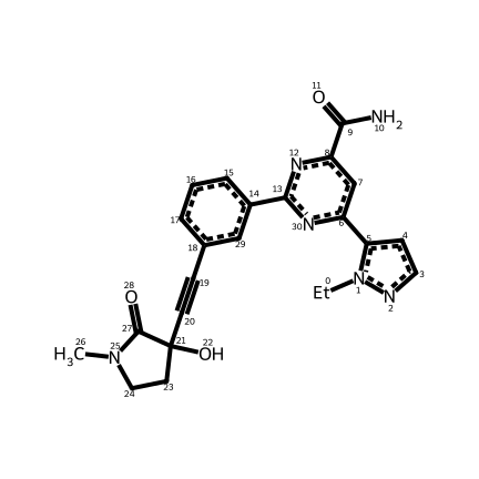 CCn1nccc1-c1cc(C(N)=O)nc(-c2cccc(C#CC3(O)CCN(C)C3=O)c2)n1